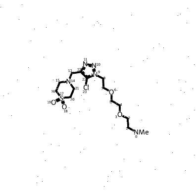 CNCCOCCOCCn1nnc(CN2CCS(=O)(=O)CC2)c1Cl